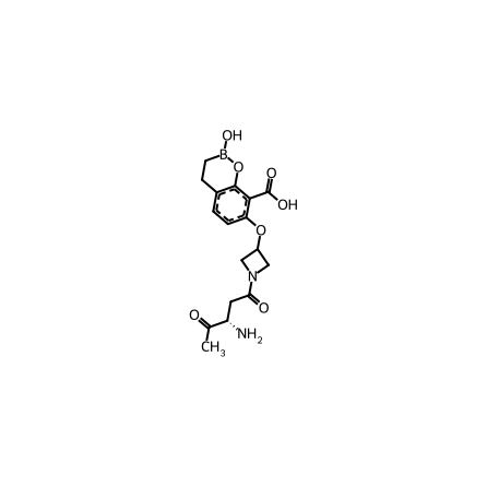 CC(=O)[C@@H](N)CC(=O)N1CC(Oc2ccc3c(c2C(=O)O)OB(O)CC3)C1